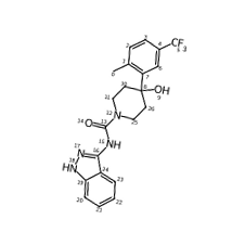 Cc1ccc(C(F)(F)F)cc1C1(O)CCN(C(=O)Nc2n[nH]c3ccccc23)CC1